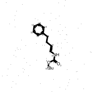 CC(C)(C)OC(=O)NC=CCCc1ccccc1